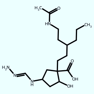 CCCC(CCNC(C)=O)CCC1(C(=O)O)CC(NC=NN)CC1O